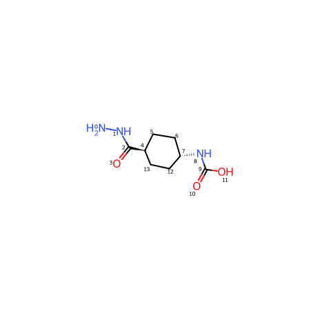 NNC(=O)[C@H]1CC[C@H](NC(=O)O)CC1